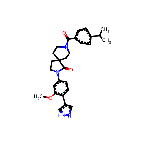 COc1cc(N2CCC3(CCN(C(=O)c4ccc(C(C)C)cc4)CC3)C2=O)ccc1-c1cn[nH]c1